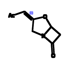 CC(=O)/C=C1\CN2C(=O)CC2O1